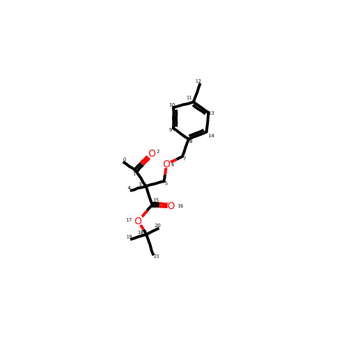 CC(=O)C(C)(COCc1ccc(C)cc1)C(=O)OC(C)(C)C